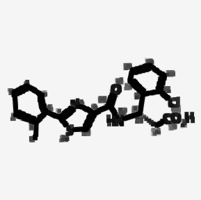 Cc1ccccc1-c1nc(C(=O)N[C@@H](CC(=O)O)c2ccccc2Cl)cs1